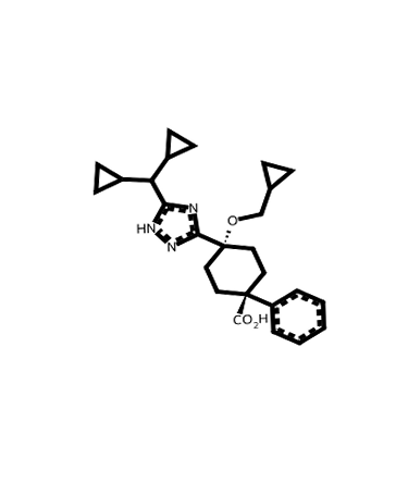 O=C(O)[C@]1(c2ccccc2)CC[C@](OCC2CC2)(c2n[nH]c(C(C3CC3)C3CC3)n2)CC1